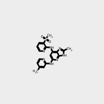 Cc1ccnc(Nc2cc(Nc3ncccc3S(C)(=O)=O)c3nc(C)[nH]c3n2)c1